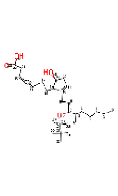 CCCCCC(C)[C@H](CCC1=CC[C@H](O)[C@@H]1CCC=C=CCC(=O)O)O[Si](C)(C)C(C)(C)C